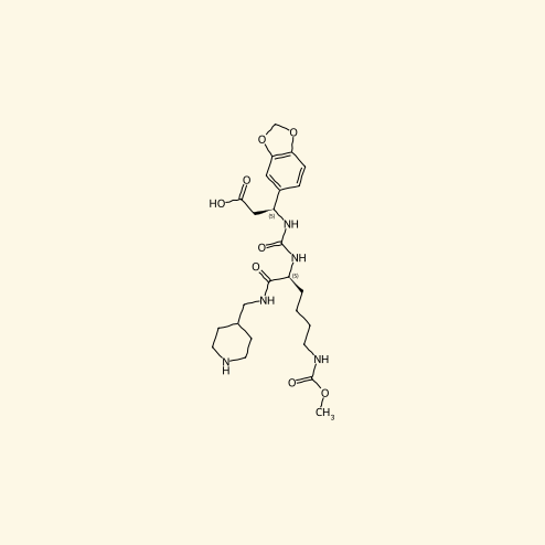 COC(=O)NCCCC[C@H](NC(=O)N[C@@H](CC(=O)O)c1ccc2c(c1)OCO2)C(=O)NCC1CCNCC1